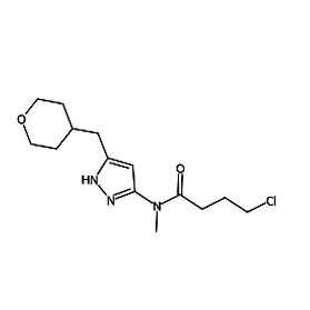 CN(C(=O)CCCCl)c1cc(CC2CCOCC2)[nH]n1